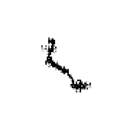 O=C(/C=C/c1cccnc1)NCCCCC1CCN(C(=O)c2ccc(N3CCC(N4CCN(CCCCCC#Cc5cccc6c5CN(C5CCC(=O)NC5=O)C6=O)CC4)CC3)nc2)CC1